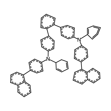 C1=C=CC(N(c2ccc(-c3ccccc3-c3ccc(N(c4ccc(-c5cccc6ccccc56)cc4)C4C=CC=CC4)cc3)cc2)c2ccc(-c3cccc4ccccc34)cc2)=CC=1